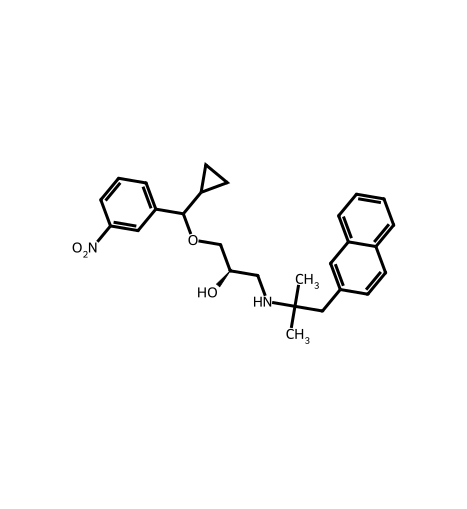 CC(C)(Cc1ccc2ccccc2c1)NC[C@@H](O)COC(c1cccc([N+](=O)[O-])c1)C1CC1